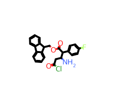 NC(CC(=O)Cl)C(C(=O)OCC1c2ccccc2-c2ccccc21)c1ccc(F)cc1